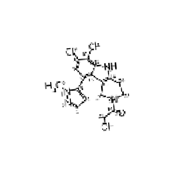 Cn1nccc1-c1cc(Cl)c(Cl)c2[nH]c3c(c12)CN(C(=O)CO)CC3